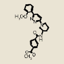 COC(=O)c1ccc(C(=O)NC2CCCN(c3ccc(-c4ccccc4OC)nn3)C2)cc1